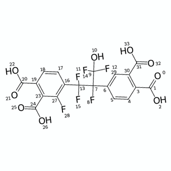 O=C(O)c1ccc(C(F)(C(O)(F)F)C(F)(F)c2ccc(C(=O)O)c(C(=O)O)c2F)cc1C(=O)O